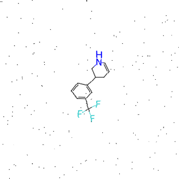 FC(F)(F)c1cccc(C2CC=CNC2)c1